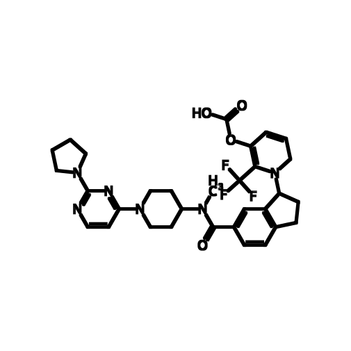 CN(C(=O)c1ccc2c(c1)C(N1CC=CC(OC(=O)O)=C1C(F)(F)F)CC2)C1CCN(c2ccnc(N3CCCC3)n2)CC1